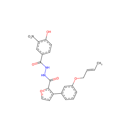 CC=CCOc1cccc(-c2ccoc2C(=O)NNC(=O)c2ccc(O)c([N+](=O)[O-])c2)c1